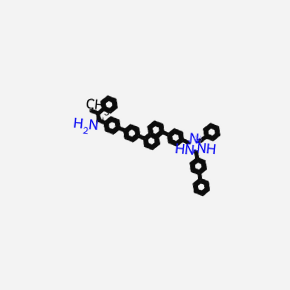 CCC(c1ccccc1)[C@H](N)c1ccc(-c2ccc(-c3cccc4c(-c5ccc(C(/N=C/c6ccccc6)NC(=N)c6ccc(-c7ccccc7)cc6)cc5)cccc34)cc2)cc1